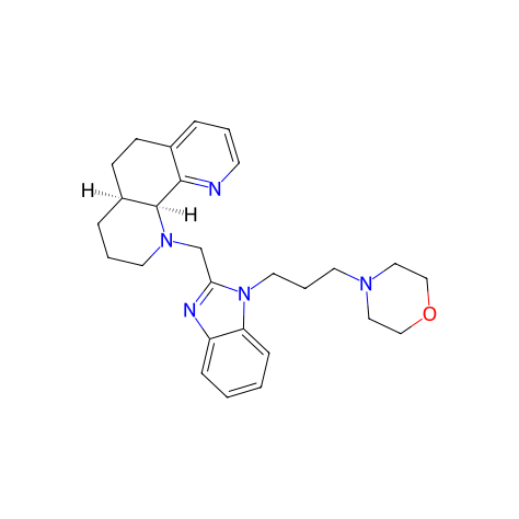 c1cnc2c(c1)CC[C@@H]1CCCN(Cc3nc4ccccc4n3CCCN3CCOCC3)[C@H]21